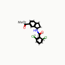 COC(=O)c1ccc2c(c1)C(NC(=O)c1c(Cl)cccc1Cl)CC2